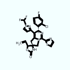 C=CC1OC(=O)N[C@]12CC1=C(c3ccn(C(F)F)n3)[C@H](c3ccc(F)cc3Cl)N=C(c3nccs3)N1C2